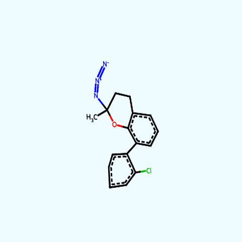 CC1(N=[N+]=[N-])CCc2cccc(-c3ccccc3Cl)c2O1